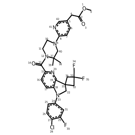 COC(=O)Cc1ccc(N2CCN(C(=O)c3ccc4c(n3)C3(CN4c4ccc(Cl)c(F)c4)CC(F)(F)C3)C(C)(C)C2)nc1